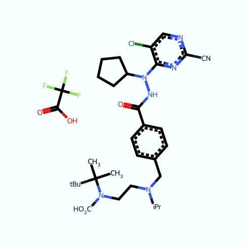 CC(C)N(CCN(C(=O)O)C(C)(C)C(C)(C)C)Cc1ccc(C(=O)NN(c2nc(C#N)ncc2Cl)C2CCCC2)cc1.O=C(O)C(F)(F)F